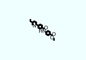 CCOC(=O)c1ccc(NC(=O)c2ccc(-c3ccc(CC)cn3)cc2)cc1